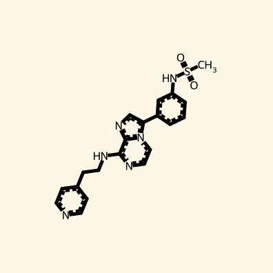 CS(=O)(=O)Nc1cccc(-c2cnc3c(NCCc4ccncc4)nccn23)c1